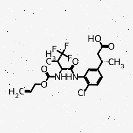 C=CCOC(=O)N[C@H](C(=O)Nc1cc([C@@H](C)CC(=O)O)ccc1Cl)C(C)C(F)(F)F